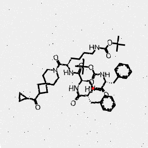 CC(C)C[C@@H](NC(=O)[C@@H](Cc1ccccc1)NC(=O)[C@@H](Cc1ccccc1)NC(=O)OC(C)(C)C)C(=O)N[C@H](CCCCNC(=O)OC(C)(C)C)C(=O)N1CCC2(CC1)CC(C(=O)C1CC1)C2